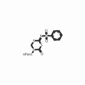 CCCCCN1CSC(=NS(=O)(=O)c2ccccc2)SC1=O